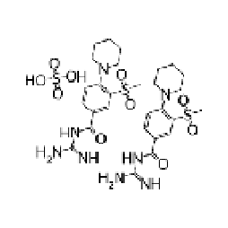 CS(=O)(=O)c1cc(C(=O)NC(=N)N)ccc1N1CCCCC1.CS(=O)(=O)c1cc(C(=O)NC(=N)N)ccc1N1CCCCC1.O=S(=O)(O)O